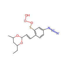 CCC1CC(C)OC(C=Cc2ccc(N=[N+]=[N-])cc2SOOO)O1